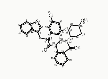 O=C(NCc1csc2ccccc12)[C@@H]1c2ccccc2C(=O)N([C@H]2CC[C@H](O)CC2)[C@H]1c1ccc(Cl)cc1Cl